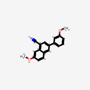 COc1cccc(-c2cc(C#N)c3cc(OC)ccc3c2)c1